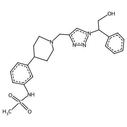 CS(=O)(=O)Nc1cccc(C2CCN(Cc3cn(C(CO)c4ccccc4)nn3)CC2)c1